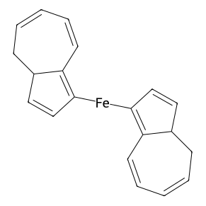 C1=CCC2C=C[C]([Fe][C]3=C4C=CC=CCC4C=C3)=C2C=C1